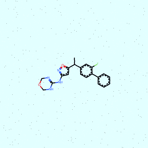 CC(c1ccc(-c2ccccc2)c(F)c1)c1cc(NC2=NCOCN2)no1